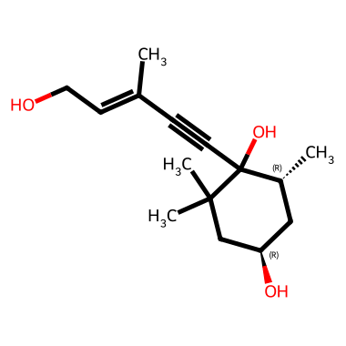 CC(C#CC1(O)[C@H](C)C[C@@H](O)CC1(C)C)=CCO